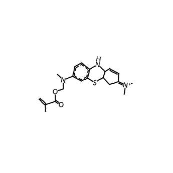 C=C(C)C(=O)OCN(C)c1ccc2c(c1)SC1CC(=[N+](C)C)C=CC1N2